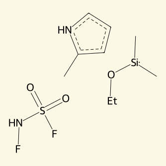 CCO[Si](C)C.Cc1ccc[nH]1.O=S(=O)(F)NF